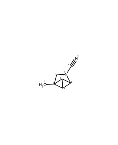 CC12CN(C#N)C3C1C32